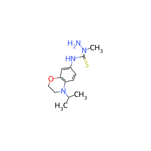 CC(C)N1CCOc2cc(NC(=S)N(C)N)ccc21